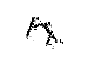 CCCCCCCCC(CCCCCC)CNC(=O)CCCCCN(CCO)CC(O)CSCCOC(=O)C(CCCCCC)CCCCCCCC